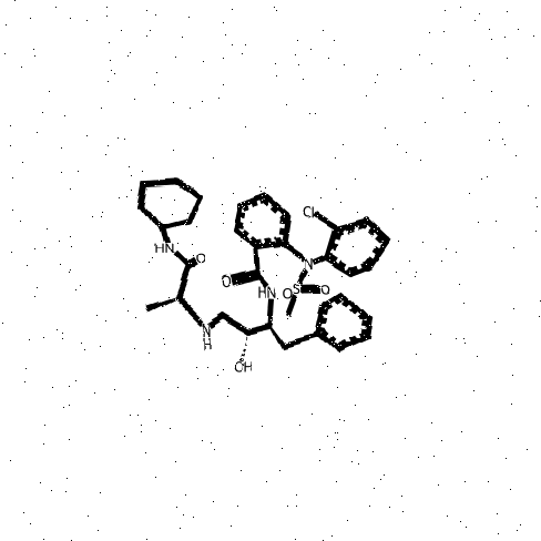 C[C@H](NC[C@@H](O)[C@H](Cc1ccccc1)NC(=O)c1ccccc1N(c1ccccc1Cl)S(C)(=O)=O)C(=O)NC1CCCCC1